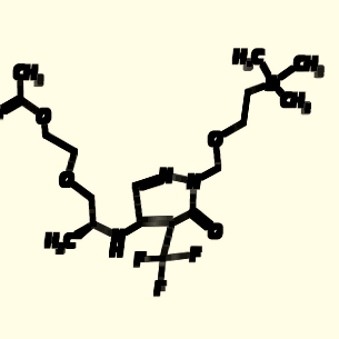 CC(=O)OCCOC[C@H](C)Nc1cnn(COCC[Si](C)(C)C)c(=O)c1C(F)(F)F